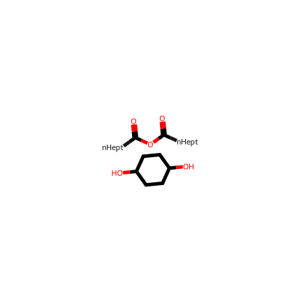 CCCCCCCC(=O)OC(=O)CCCCCCC.OC1CCC(O)CC1